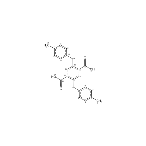 Cc1ccc(Cc2cc(C(=O)O)c(Cc3ccc(C)cc3)cc2C(=O)O)cc1